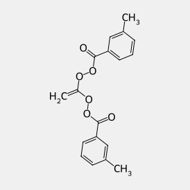 C=C(OOC(=O)c1cccc(C)c1)OOC(=O)c1cccc(C)c1